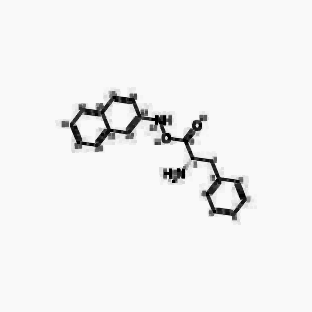 N[C@@H](Cc1ccccc1)C(=O)ONc1ccc2ccccc2c1